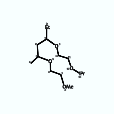 CCC(CC(C)OCCOC)OCCOC(C)C